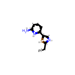 CC(C)Cc1ncc(-c2cccc(N)n2)s1